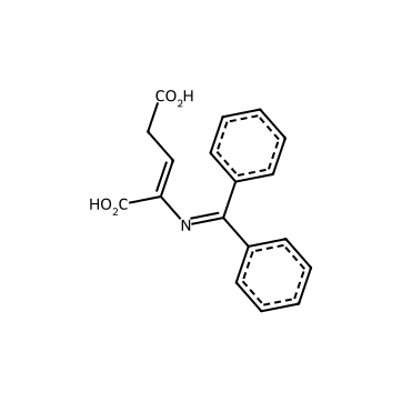 O=C(O)CC=C(N=C(c1ccccc1)c1ccccc1)C(=O)O